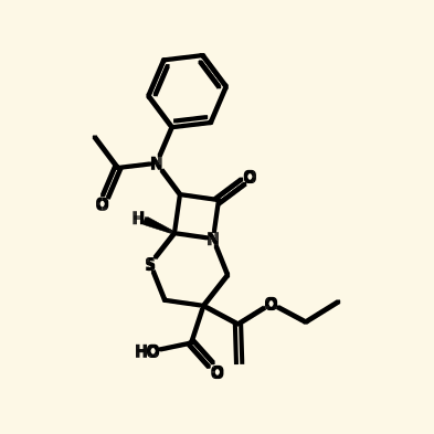 C=C(OCC)C1(C(=O)O)CS[C@@H]2C(N(C(C)=O)c3ccccc3)C(=O)N2C1